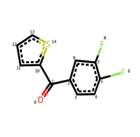 O=C(c1ccc(F)c(F)c1)c1cccs1